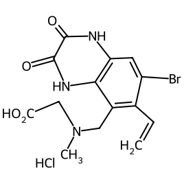 C=Cc1c(Br)cc2[nH]c(=O)c(=O)[nH]c2c1CN(C)CC(=O)O.Cl